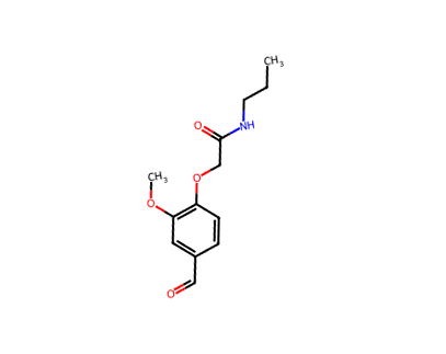 CCCNC(=O)COc1ccc(C=O)cc1OC